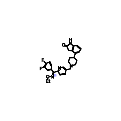 CCO/N=C(\c1ccc(F)c(F)c1)c1ccc(CN2CCC(c3cccc4c3CC(=O)N4)CC2)cn1